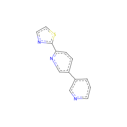 c1cncc(-c2ccc(-c3nccs3)nc2)c1